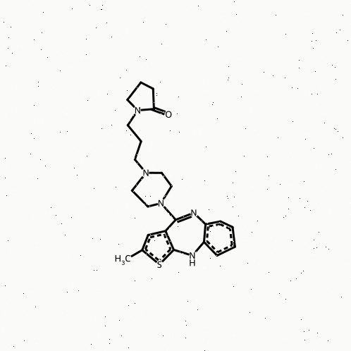 Cc1cc2c(s1)Nc1ccccc1N=C2N1CCN(CCCN2CCCC2=O)CC1